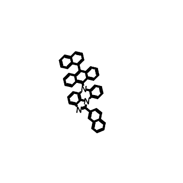 c1ccc2c(c1)N(c1c3ccccc3c(-c3cccc4ccccc34)c3ccccc13)c1cccc3nc(-c4ccc5ccccc5c4)n-2c13